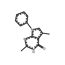 Cc1nc2c(c(C)cn2-c2ccccc2)c(=O)[nH]1